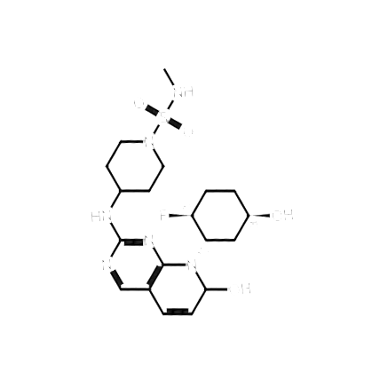 CNS(=O)(=O)N1CCC(Nc2ncc3c(n2)N([C@H]2C[C@H](O)CC[C@@H]2F)C(O)C=C3)CC1